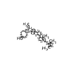 CCOc1cc(O[C@H]2CCc3c(-c4cccc(OCCCN5[C@H](C)CC[C@H]5C)c4C)cccc32)c(Cl)cc1CC1CCCCC(O)CCC1